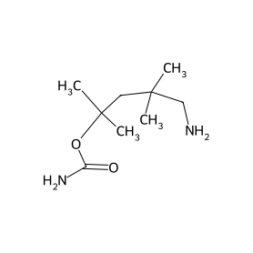 CC(C)(CN)CC(C)(C)OC(N)=O